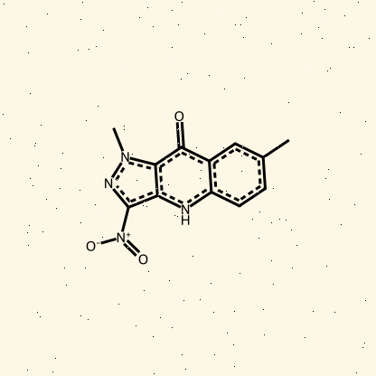 Cc1ccc2[nH]c3c([N+](=O)[O-])nn(C)c3c(=O)c2c1